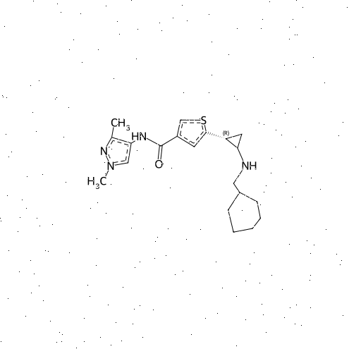 Cc1nn(C)cc1NC(=O)c1csc([C@@H]2CC2NCC2CCCCC2)c1